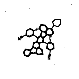 N#Cc1ccc(F)c(-c2c3cc4c5ccccc5c5cccc(c3c(-c3cc(C#N)ccc3F)c3c6ccc(C7CCCCC7)c7cccc(c23)c76)c54)c1